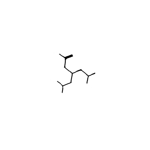 CC(=O)CC(CC(C)C)CC(C)C